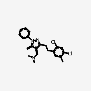 C=c1c(=CN(C)C)c(CCc2cc(C)c(Cl)cc2Cl)nn1-c1ccccc1